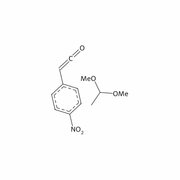 COC(C)OC.O=C=Cc1ccc([N+](=O)[O-])cc1